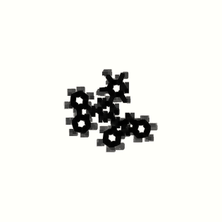 Cc1nc(C)c(-c2nc(-n3c4ccccc4c4ccccc43)nc(-n3c4ccccc4n4c5ccccc5nc34)n2)c(C)c1C